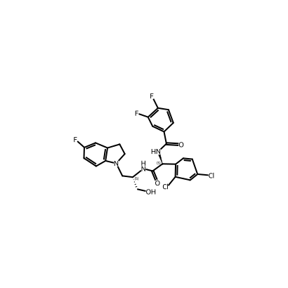 O=C(N[C@H](C(=O)N[C@H](CO)CN1CCc2cc(F)ccc21)c1ccc(Cl)cc1Cl)c1ccc(F)c(F)c1